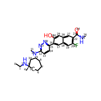 CCN[C@@]1(C)CCCC[C@@H](N(C)c2ccc(-c3cc4cc(F)c(C(=O)NC)cc4cc3O)nn2)C1